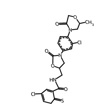 CC1CN(c2ccc(N3CC(CNC(=O)C4=CC(Cl)=CCC4=S)OC3=O)cc2Cl)C(=O)CO1